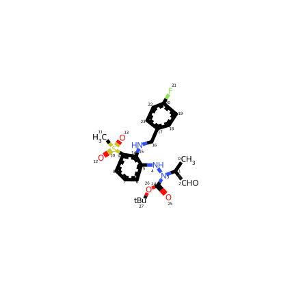 CC(C=O)N(Nc1cccc(S(C)(=O)=O)c1NCc1ccc(F)cc1)C(=O)OC(C)(C)C